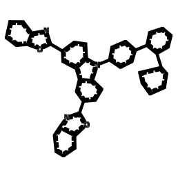 c1ccc(-c2ccccc2-c2ccc(-n3c4ccc(-c5nc6ccccc6o5)cc4c4cc(-c5nc6ccccc6o5)ccc43)cc2)cc1